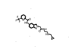 O=C(Cn1cc2cc(NC(=O)c3cccc(C(F)(F)F)n3)ccc2n1)NCCNCC1CC1